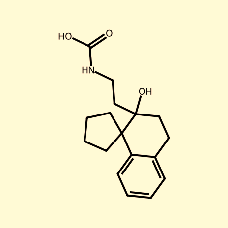 O=C(O)NCCC1(O)CCc2ccccc2C12CCCC2